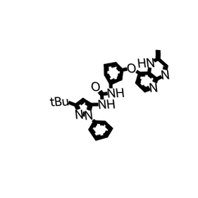 C=C1C=Nc2nccc(Oc3cccc(NC(=O)Nc4cc(C(C)(C)C)nn4-c4ccccc4)c3)c2N1